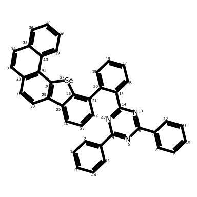 c1ccc(-c2nc(-c3ccccc3)nc(-c3ccccc3-c3cccc4c3[se]c3c4ccc4ccc5ccccc5c43)n2)cc1